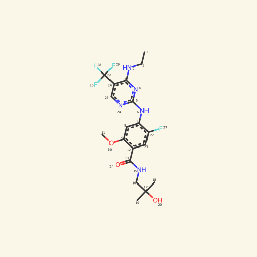 CCNc1nc(Nc2cc(OC)c(C(=O)NCC(C)(C)O)cc2F)ncc1C(F)(F)F